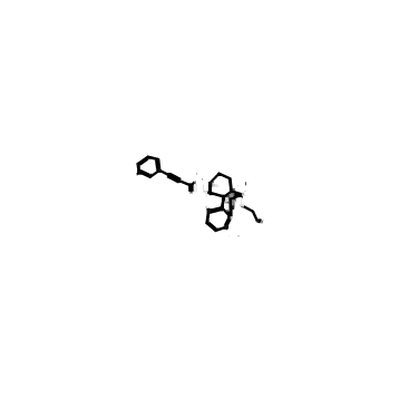 C=CCN1CC[C@@]23c4c5ccc(O)c4C[C@@H]1[C@@H]2CC[C@@H](N(C)C(=O)C#Cc1cccc(C)c1)[C@@H]3O5